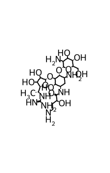 C[C@@H](NC(=N)N)[C@H]1O[C@@H](OC2C(O)[C@H](NC(=O)C(O)CCN)CC(N)[C@H]2O[C@H]2OC(CO)[C@@H](O)C(O)C2N)C(O)C1O